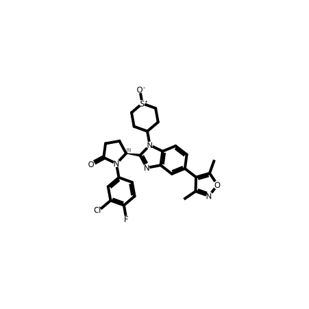 Cc1noc(C)c1-c1ccc2c(c1)nc([C@@H]1CCC(=O)N1c1ccc(F)c(Cl)c1)n2C1CC[S+]([O-])CC1